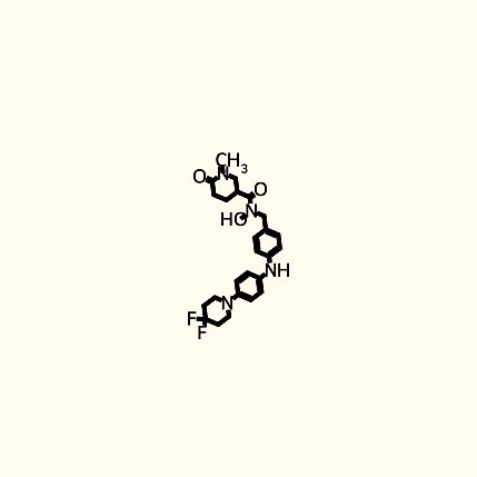 CN1CC(C(=O)N(O)Cc2ccc(Nc3ccc(N4CCC(F)(F)CC4)cc3)cc2)CCC1=O